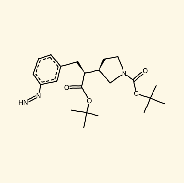 CC(C)(C)OC(=O)[C@@H](Cc1cccc(N=N)c1)[C@H]1CCN(C(=O)OC(C)(C)C)C1